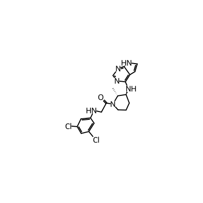 C[C@@H]1[C@@H](Nc2ncnc3[nH]ccc23)CCCN1C(=O)CNc1cc(Cl)cc(Cl)c1